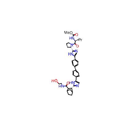 COC(=O)N[C@H](C(=O)N1CCC[C@H]1c1ncc(-c2ccc(-c3ccc(-c4cnc([C@@H]5C6CCC(C6)C5C(=O)NCCO)[nH]4)cc3)cc2)[nH]1)C(C)C